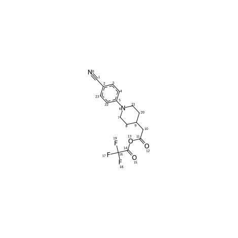 N#Cc1ccc(N2CCC(CC(=O)OC(=O)C(F)(F)F)CC2)cc1